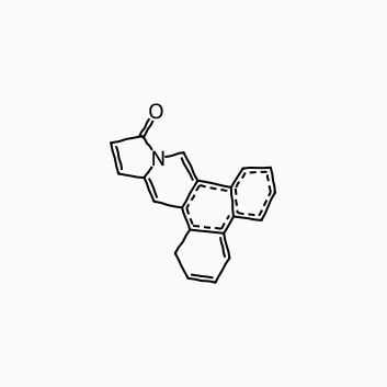 O=C1C=CC2=Cc3c4c(c5ccccc5c3=CN12)=CC=CC4